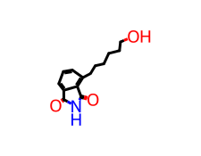 O=C1NC(=O)c2c(CCCCCCO)cccc21